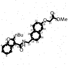 CCCCc1oc2ccccc2c1C(=O)NCc1ccc2cc(OCC(=O)OC)ccc2c1